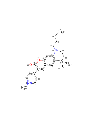 C[n+]1ccc(-c2cc3cc4c(cc3oc2=O)N(CCCC(=O)O)CCC4(C)C)cc1